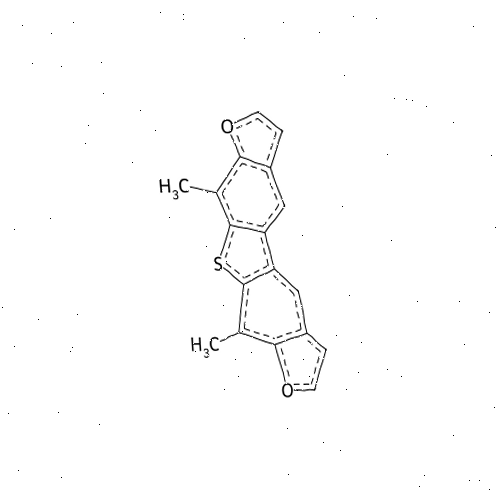 Cc1c2occc2cc2c1sc1c(C)c3occc3cc12